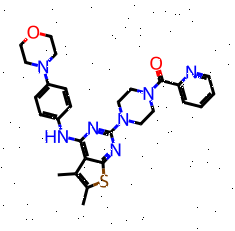 Cc1sc2nc(N3CCN(C(=O)c4ccccn4)CC3)nc(Nc3ccc(N4CCOCC4)cc3)c2c1C